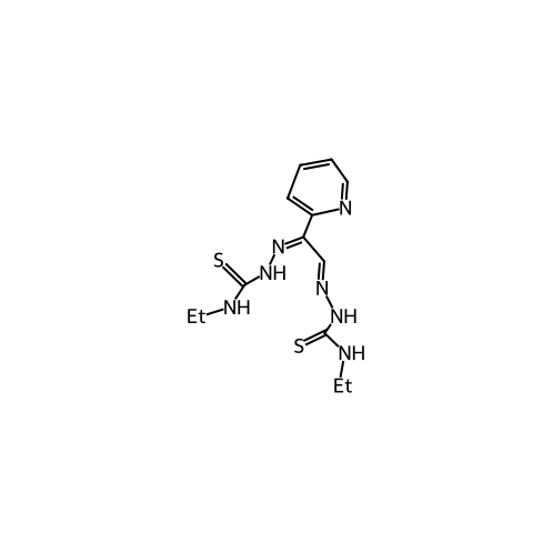 CCNC(=S)N/N=C(\C=N\NC(=S)NCC)c1ccccn1